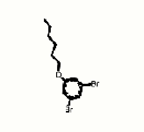 CCCCCCOc1cc(Br)cc(Br)c1